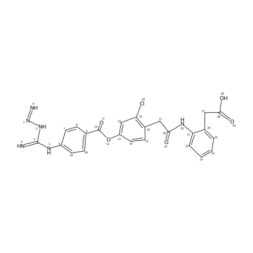 N=NNC(=N)Nc1ccc(C(=O)Oc2ccc(CC(=O)Nc3ccccc3CC(=O)O)c(Cl)c2)cc1